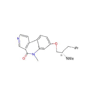 CN[C@H](COc1ccc2c3ccncc3c(=O)n(C)c2c1)CC(C)C